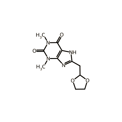 Cn1c(=O)c2[nH]c(CC3OCCO3)nc2n(C)c1=O